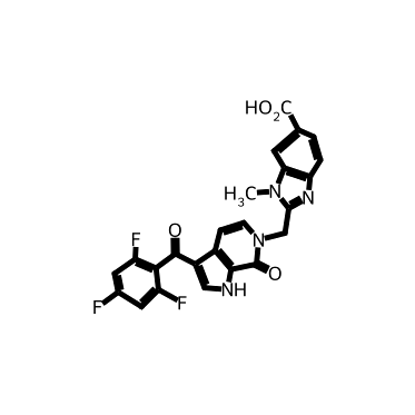 Cn1c(Cn2ccc3c(C(=O)c4c(F)cc(F)cc4F)c[nH]c3c2=O)nc2ccc(C(=O)O)cc21